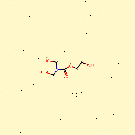 O=C(OCCO)N(CO)CO